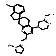 CC(C)N1CCC[C@H]1COc1nc2c(c(N3CCN[C@@H](CC#N)C3)n1)CCC1(CCc3c(Cl)cccc31)C2